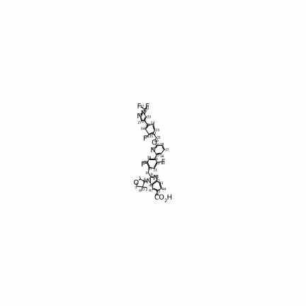 CC1(C)COC[C@H]1n1c(Cc2cc(F)c(-c3cccc(OCc4ccc(-c5cnn(C(F)F)c5)cc4F)n3)cc2F)nc2ccc(C(=O)O)cc21